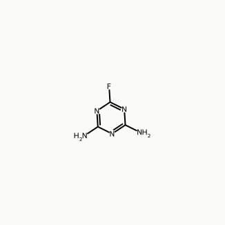 Nc1nc(N)nc(F)n1